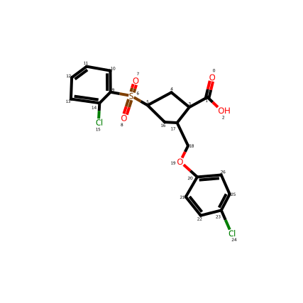 O=C(O)C1CC(S(=O)(=O)c2ccccc2Cl)CC1COc1ccc(Cl)cc1